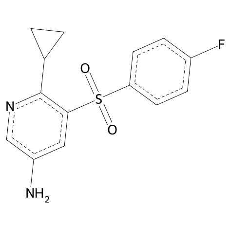 Nc1cnc(C2CC2)c(S(=O)(=O)c2ccc(F)cc2)c1